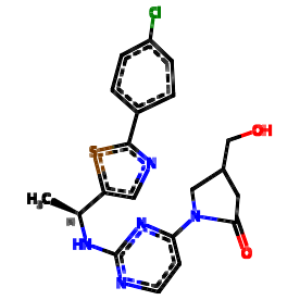 C[C@H](Nc1nccc(N2CC(CO)CC2=O)n1)c1cnc(-c2ccc(Cl)cc2)s1